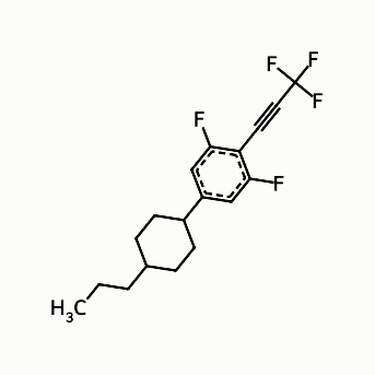 CCCC1CCC(c2cc(F)c(C#CC(F)(F)F)c(F)c2)CC1